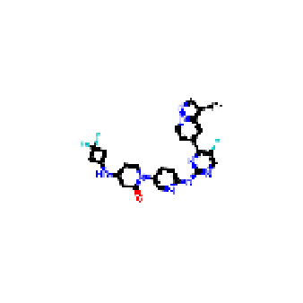 CC(C)c1cnn2ccc(-c3nc(Nc4ccc(N5CCC(NC6CC(F)(F)C6)CC5=O)cn4)ncc3F)cc12